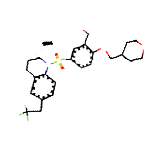 C=C[C@H]1CCc2cc(CC(F)(F)F)ccc2N1S(=O)(=O)c1ccc(OCC2CCOCC2)c(CO)c1